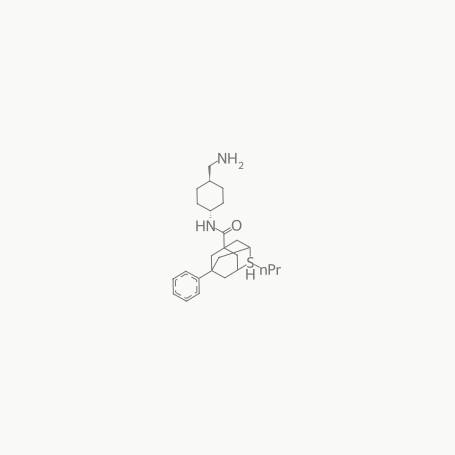 CCC[SH]1C2CC3(C(=O)N[C@H]4CC[C@H](CN)CC4)CC1CC(c1ccccc1)(C2)C3